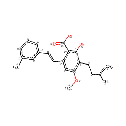 C=C(C)CCc1c(OC)cc(C=Cc2cccc(C)c2)c(C(=O)O)c1O